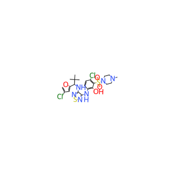 CN1CCN(S(=O)(=O)c2c(Cl)ccc(Nc3nsnc3N[C@@H](c3cc(Cl)co3)C(C)(C)C)c2O)CC1